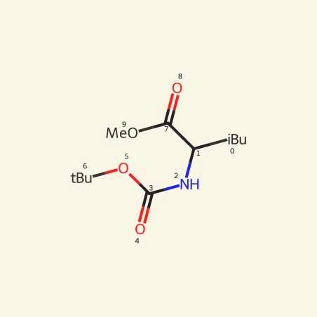 CCC(C)C(NC(=O)OC(C)(C)C)C(=O)OC